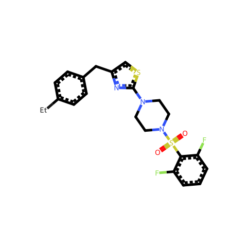 CCc1ccc(Cc2csc(N3CCN(S(=O)(=O)c4c(F)cccc4F)CC3)n2)cc1